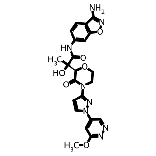 COc1cc(-n2ccc(N3CCO[C@H](C(C)(O)C(=O)Nc4ccc5c(N)noc5c4)C3=O)n2)cnn1